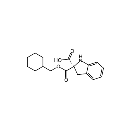 O=C(O)[C@@]1(C(=O)OCC2CCCCC2)Cc2ccccc2N1